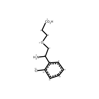 NC(COCCC(=O)O)c1ccccc1Cl